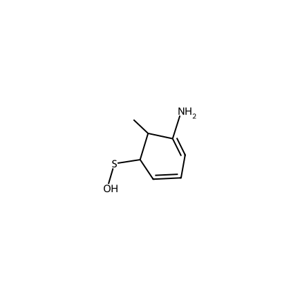 CC1C(N)=CC=CC1SO